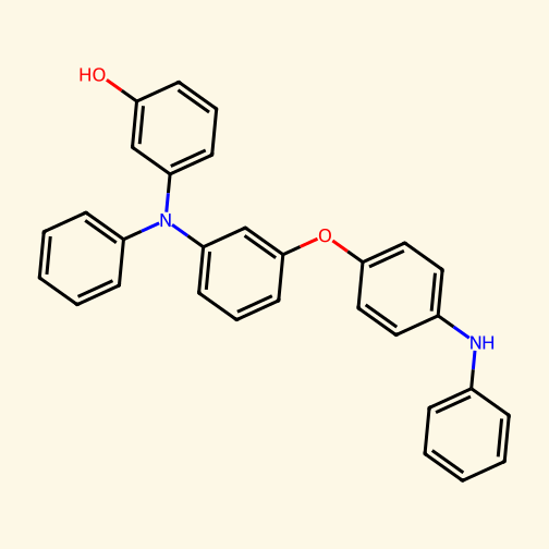 Oc1cccc(N(c2ccccc2)c2cccc(Oc3ccc(Nc4ccccc4)cc3)c2)c1